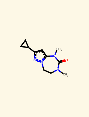 CN1CCn2nc(C3CC3)cc2N(C)C1=O